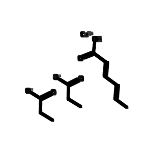 CC=CC=CC(=O)O.CCC(=O)[O-].CCC(=O)[O-].[Ca+2]